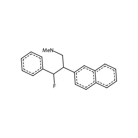 CNCC(c1ccc2ccccc2c1)C(F)c1ccccc1